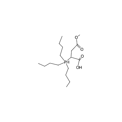 CCCC[PH](CCCC)(CCCC)C(CC(=O)OC)C(=O)O